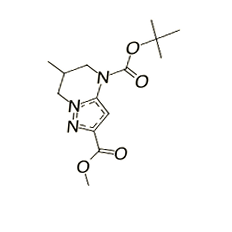 COC(=O)c1cc2n(n1)CC(C)CN2C(=O)OC(C)(C)C